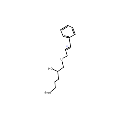 CCCCCCCCCCCCC(O)COC/C=C/c1ccccc1